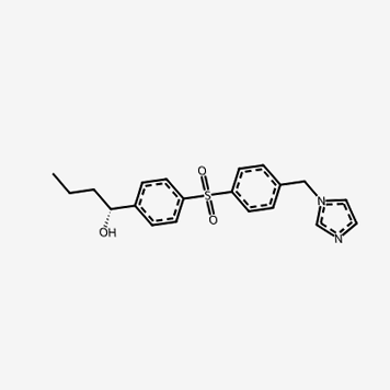 CCC[C@@H](O)c1ccc(S(=O)(=O)c2ccc(Cn3ccnc3)cc2)cc1